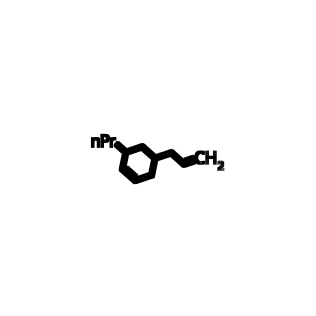 C=CCC1CC=CC(CCC)C1